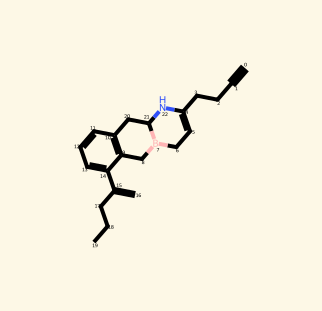 C#CCCC1=CCB2Cc3c(cccc3C(=C)CCC)CC2N1